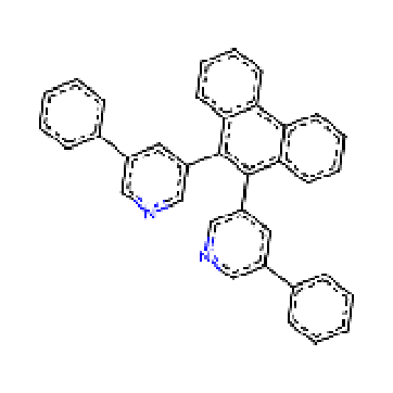 c1ccc(-c2cncc(-c3c(-c4cncc(-c5ccccc5)c4)c4ccccc4c4ccccc34)c2)cc1